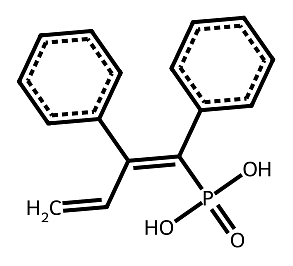 C=CC(=C(c1ccccc1)P(=O)(O)O)c1ccccc1